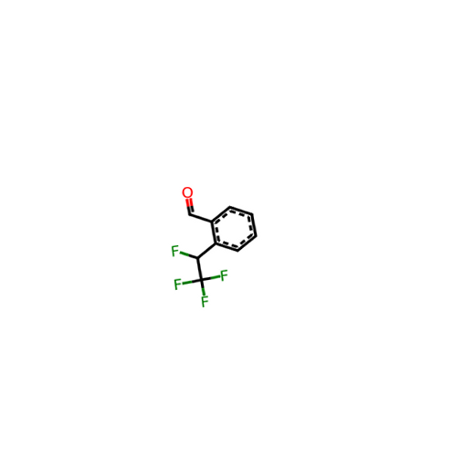 O=Cc1ccccc1C(F)C(F)(F)F